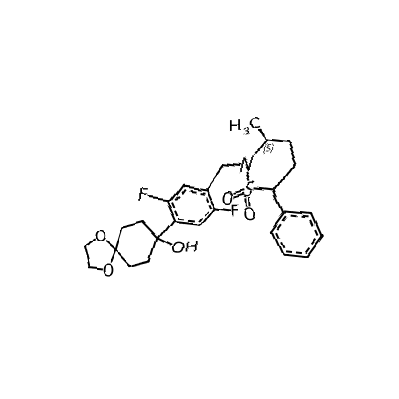 C[C@H]1CCC(c2ccccc2)S(=O)(=O)N1Cc1cc(F)c(C2(O)CCC3(CC2)OCCO3)cc1F